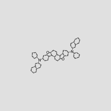 c1ccc(N(c2ccc3ccccc3c2)c2ccc3c(c2)oc2ccc4c(ccc5oc6cc(N(c7ccccc7)c7ccc8ccccc8c7)ccc6c54)c23)cc1